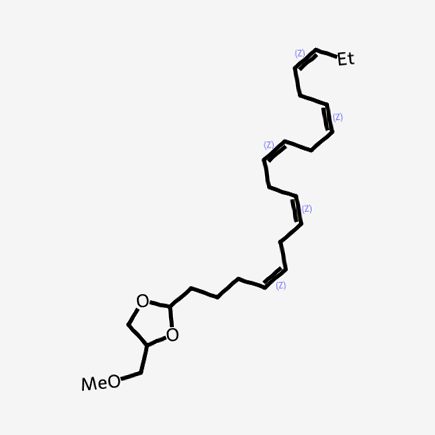 CC/C=C\C/C=C\C/C=C\C/C=C\C/C=C\CCCC1OCC(COC)O1